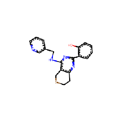 Oc1ccccc1-c1nc2c(c(NCc3cccnc3)n1)CSCC2